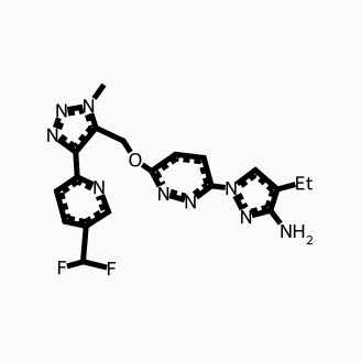 CCc1cn(-c2ccc(OCc3c(-c4ccc(C(F)F)cn4)nnn3C)nn2)nc1N